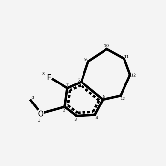 COc1ccc2c(c1F)CCCCC2